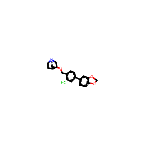 Cl.c1cc(-c2ccc3c(c2)OCO3)ccc1COC1CN2CCC1CC2